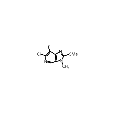 CSc1nc2c(F)c(Cl)ncc2n1C